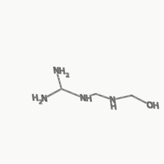 NC(N)NCNCO